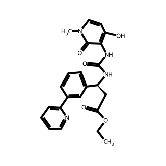 CCOC(=O)C[C@H](NC(=O)Nc1c(O)ccn(C)c1=O)c1cccc(-c2ccccn2)c1